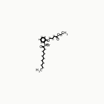 CCCCCCCCCCC(=O)N(Br)c1ccccc1OCCCC(=O)OCC